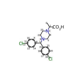 CC(C(=O)O)N1CCN(C(c2ccc(Cl)cc2)c2ccc(Cl)cc2)CC1